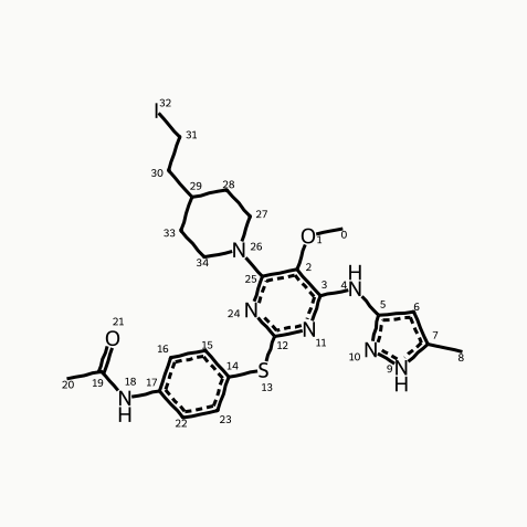 COc1c(Nc2cc(C)[nH]n2)nc(Sc2ccc(NC(C)=O)cc2)nc1N1CCC(CCI)CC1